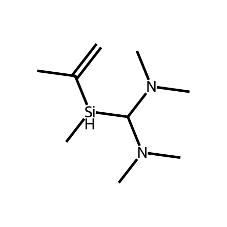 C=C(C)[SiH](C)C(N(C)C)N(C)C